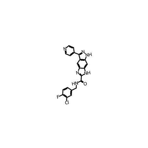 O=C(NCc1ccc(F)c(Cl)c1)c1nc2cc3c(-c4ccncc4)n[nH]c3cc2[nH]1